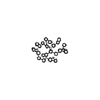 CC1(C)c2ccccc2-c2ccc(N(c3cccc(-c4cccc(-c5ccc6c(c5)c5ccccc5n6-c5cccc6ccccc56)c4)c3)c3cc(-c4cc(-c5cccc(-c6ccc7c(c6)c6ccccc6n7-c6ccccc6)c5)cc(N(c5ccc(-c6ccc7ccccc7c6)cc5)c5ccc6c(c5)C(c5ccccc5)(c5ccccc5)c5ccccc5-6)c4)cc4ccccc34)cc21